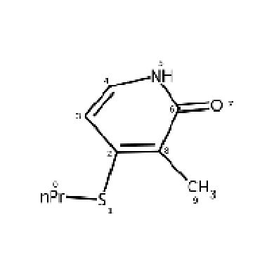 CCCSc1cc[nH]c(=O)c1C